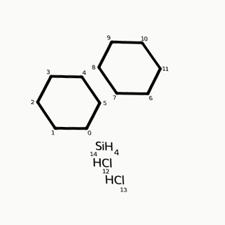 C1CCCCC1.C1CCCCC1.Cl.Cl.[SiH4]